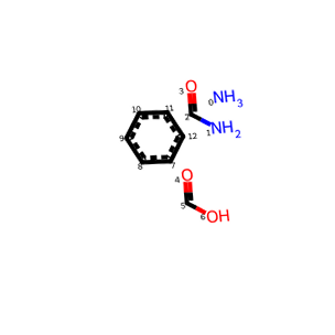 N.NC=O.O=CO.c1ccccc1